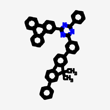 CC1(C)c2cc(-c3ccccc3)ccc2-c2ccc(-c3cccc(-c4nc(-c5ccccc5)nc(-c5ccc6c7ccccc7c7ccccc7c6c5)n4)c3)cc21